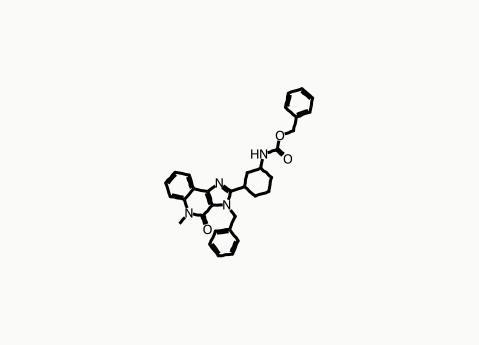 Cn1c(=O)c2c(nc(C3CCCC(NC(=O)OCc4ccccc4)C3)n2Cc2ccccc2)c2ccccc21